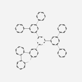 c1ccc(-c2cc(-c3ccccc3)cc(-c3nc(-c4cc(-c5ccccc5)cc(-c5ccccc5)c4)nc(-c4ccc5c(c4)-c4ccccc4-c4ccccc4O5)n3)c2)cc1